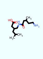 CC(C)CC(CNC(=O)CC(C)CCN)CC(=O)O